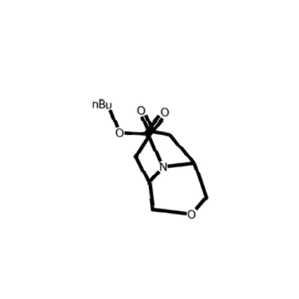 CCCCOC(=O)N1C2COCC1CC(=O)C2